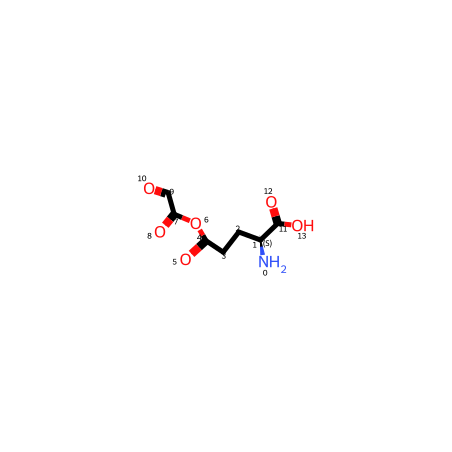 N[C@@H](CCC(=O)OC(=O)C=O)C(=O)O